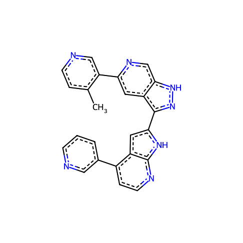 Cc1ccncc1-c1cc2c(-c3cc4c(-c5cccnc5)ccnc4[nH]3)n[nH]c2cn1